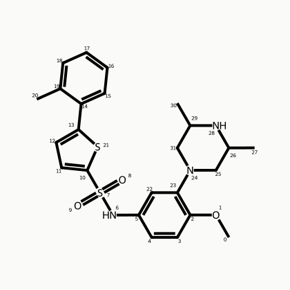 COc1ccc(NS(=O)(=O)c2ccc(-c3ccccc3C)s2)cc1N1CC(C)NC(C)C1